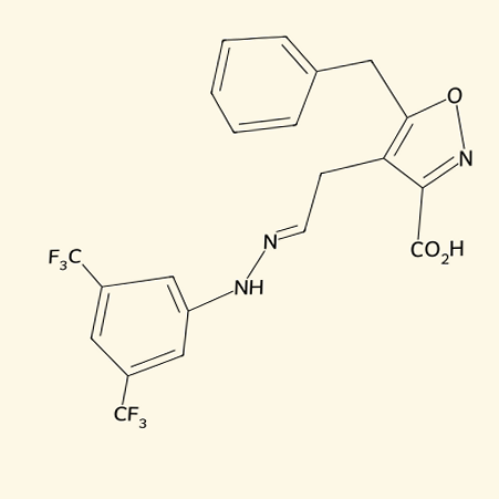 O=C(O)c1noc(Cc2ccccc2)c1CC=NNc1cc(C(F)(F)F)cc(C(F)(F)F)c1